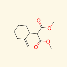 C=C1CCCCC1C(C(=O)OC)C(=O)OC